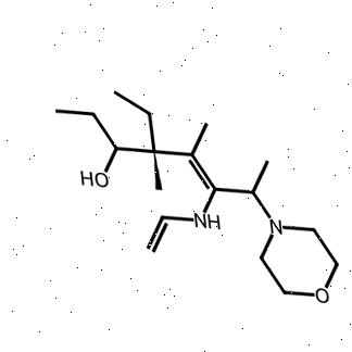 C=CN/C(=C(/C)[C@@](C)(CC)C(O)CC)C(C)N1CCOCC1